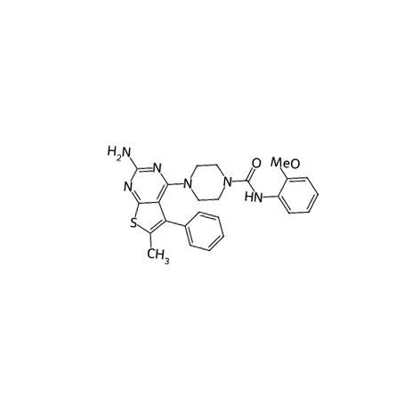 COc1ccccc1NC(=O)N1CCN(c2nc(N)nc3sc(C)c(-c4ccccc4)c23)CC1